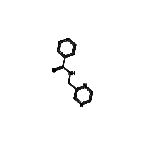 O=C(NCc1cnccn1)c1ccccc1